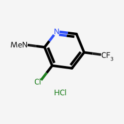 CNc1ncc(C(F)(F)F)cc1Cl.Cl